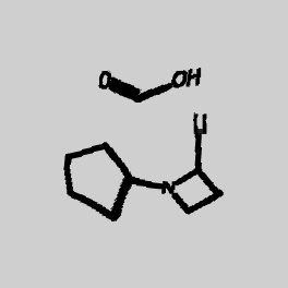 O=CO.[Li][CH]1CCN1C1CCCC1